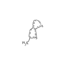 Cc1cc2ccsc2s1